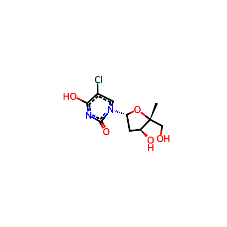 C[C@]1(CO)O[C@@H](n2cc(Cl)c(O)nc2=O)C[C@@H]1O